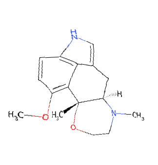 COc1ccc2[nH]cc3c2c1[C@@]1(C)OCCN(C)[C@@H]1C3